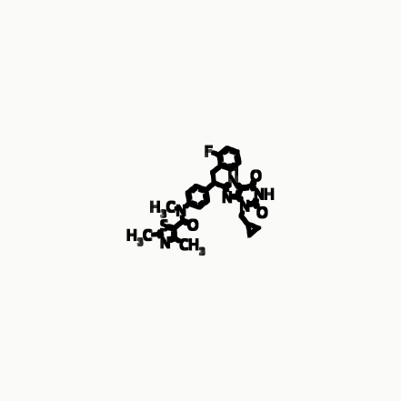 Cc1nc(C)c(C(=O)N(C)c2ccc(C(Cc3ccccc3F)c3nc4c([nH]3)c(=O)[nH]c(=O)n4CC3CC3)cc2)s1